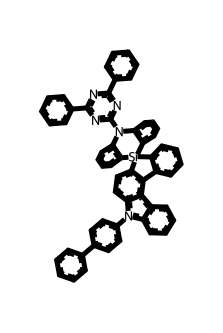 c1ccc(-c2ccc(-n3c4ccccc4c4c5c(ccc43)[Si]3(c4ccccc4-5)c4ccccc4N(c4nc(-c5ccccc5)nc(-c5ccccc5)n4)c4ccccc43)cc2)cc1